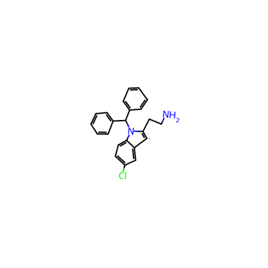 NCCc1[c]c2cc(Cl)ccc2n1C(c1ccccc1)c1ccccc1